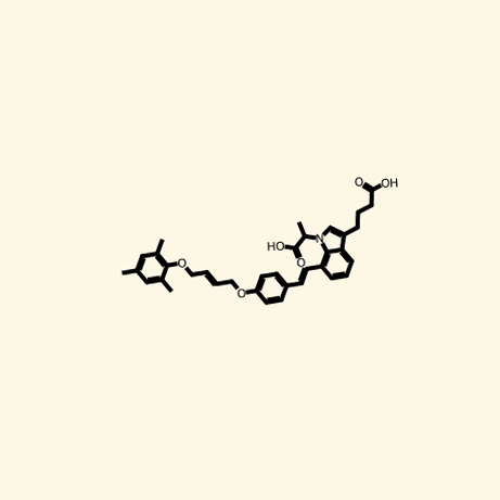 Cc1cc(C)c(OC/C=C/COc2ccc(/C=C/c3cccc4c(CCCC(=O)O)cn(C(C)C(=O)O)c34)cc2)c(C)c1